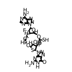 Nc1nc2c(nnn2[C@@H]2SC3OPOC[C@H]4[C@H](F)[C@H](n5nnc6c(N)ncnc65)O[C@@H]4COP(S)O[C@@H]2[C@@H]3O)c(=O)[nH]1